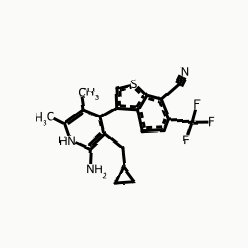 CC1=C(C)C(c2csc3c(C#N)c(C(F)(F)F)ccc23)C(CC2CC2)=C(N)N1